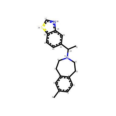 Cc1ccc2c(c1)CCN(C(C)c1ccc3scnc3c1)CC2